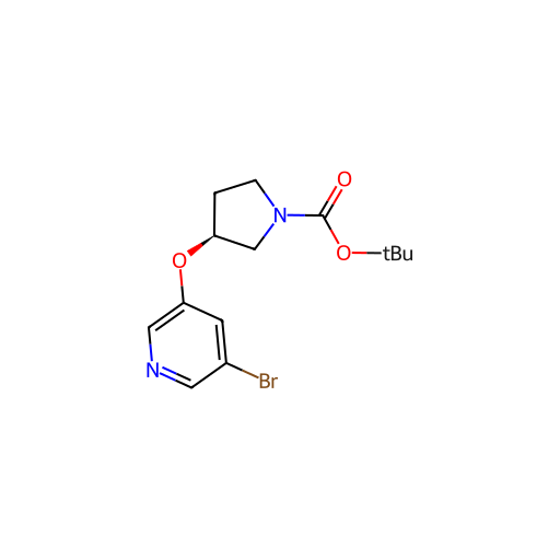 CC(C)(C)OC(=O)N1CC[C@H](Oc2cncc(Br)c2)C1